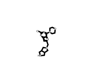 Clc1nc(N2CCOCC2)c2sc(CN3CC4CNCC4C3)cc2n1